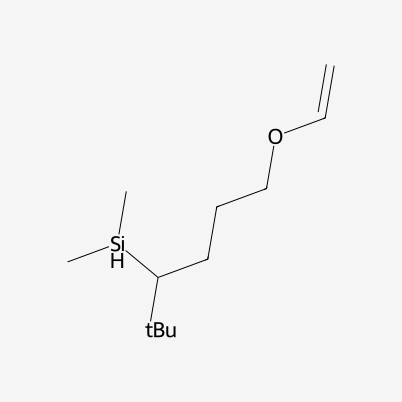 C=COCCCC([SiH](C)C)C(C)(C)C